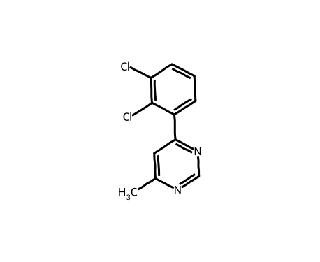 Cc1cc(-c2cccc(Cl)c2Cl)ncn1